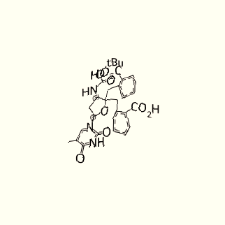 Cc1cn([C@H]2C[C@H](NC(=O)OC(C)(C)C)C(Cc3ccccc3C(=O)O)(Cc3ccccc3C(=O)O)O2)c(=O)[nH]c1=O